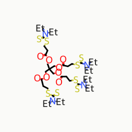 CCN(CC)C(=S)SCCC(=O)OCC(COC(=O)CCSC(=S)N(CC)CC)(COC(=O)CCSC(=S)N(CC)CC)COC(=O)CCSC(=S)N(CC)CC